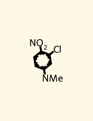 CNc1ccc([N+](=O)[O-])c(Cl)c1